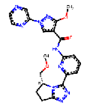 COC[C@H]1CCc2nnc(-c3cccc(NC(=O)c4cn(-c5cnccn5)nc4OC)n3)n21